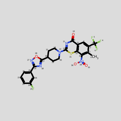 Cc1c(C(F)(F)F)cc2c(=O)nc(N3CCC(c4nc(-c5cccc(F)c5)no4)CC3)sc2c1[N+](=O)[O-]